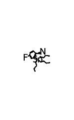 CCC[CH2][Sn]([CH2]CCC)([CH2]CCC)[c]1cc(F)ccc1C#N